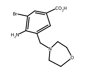 Nc1c(Br)cc(C(=O)O)cc1CN1CCOCC1